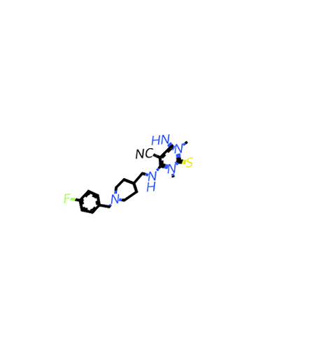 Cn1c(NCC2CCN(Cc3ccc(F)cc3)CC2)c(C#N)c(=N)n(C)c1=S